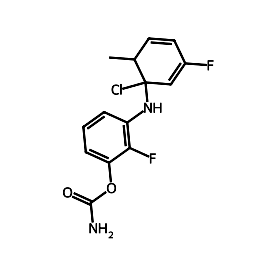 CC1C=CC(F)=CC1(Cl)Nc1cccc(OC(N)=O)c1F